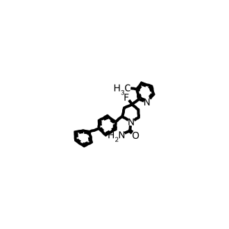 Cc1cccnc1C1(F)CCN(C(N)=O)C(c2ccc(-c3ccccc3)cc2)C1